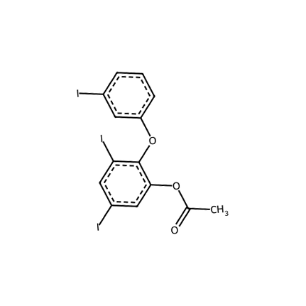 CC(=O)Oc1cc(I)cc(I)c1Oc1cccc(I)c1